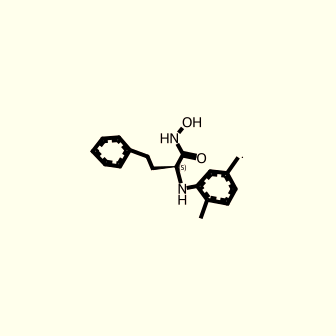 [CH2]c1ccc(C)c(N[C@@H](CCc2ccccc2)C(=O)NO)c1